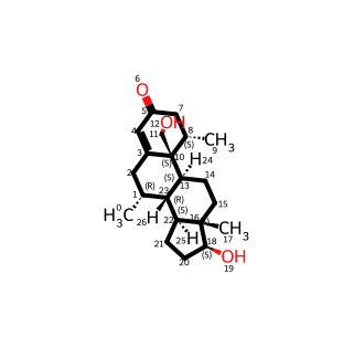 C[C@@H]1CC2=CC(=O)C[C@H](C)[C@]2(CO)[C@H]2CC[C@]3(C)[C@@H](O)CC[C@H]3[C@H]12